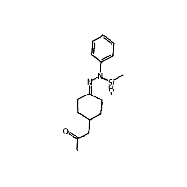 CC(=O)CC1CCC(=NN(c2ccccc2)[SiH](C)C)CC1